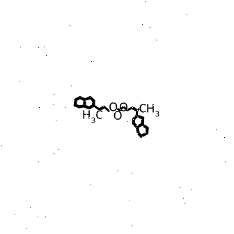 CC(=CCOC(=O)OCC=C(C)c1ccc2ccccc2c1)c1ccc2ccccc2c1